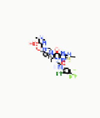 CCc1c(N2CCN(C(=O)c3ncnc(C)c3O)[C@H]3CC[C@@H]32)c(=O)c2nc3nc(C)sc3nc2n1CC(=O)Nc1ccc(C(F)(F)F)cc1Cl